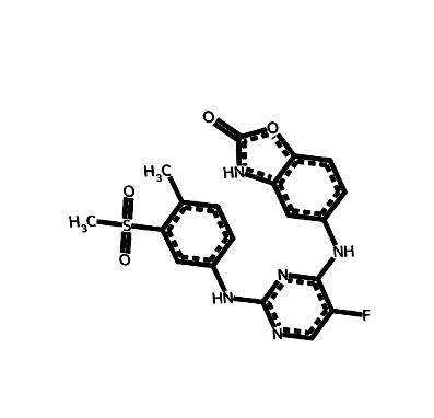 Cc1ccc(Nc2ncc(F)c(Nc3ccc4oc(=O)[nH]c4c3)n2)cc1S(C)(=O)=O